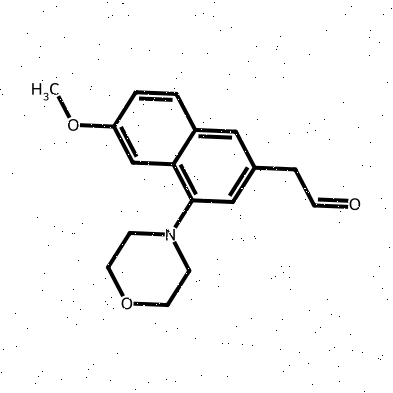 COc1ccc2cc(CC=O)cc(N3CCOCC3)c2c1